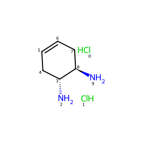 Cl.Cl.N[C@@H]1CC=CC[C@H]1N